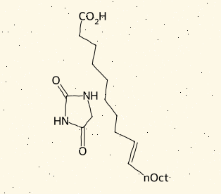 CCCCCCCCC=CCCCCCCCC(=O)O.O=C1CNC(=O)N1